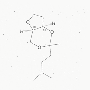 CC(C)CCC1(C)OC[C@H]2OCC[C@H]2O1